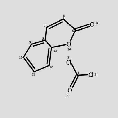 O=C(Cl)Cl.O=c1ccc2ccccc2o1